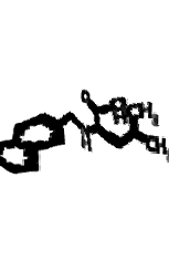 CC(C)C=C(NCc1ccc2ccccc2c1)C(=O)O